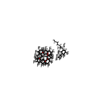 CCCCCC[NH+](CC)c1cc(F)c(F)c(C(F)(F)C(F)(F)F)c1F.Fc1c(F)c(F)c2[c]([Al-]([c]3c(F)c(F)c(F)c4c(F)c(F)c(F)c(F)c34)([c]3c(F)c(F)c(F)c4c(F)c(F)c(F)c(F)c34)[c]3c(F)c(F)c(F)c4c(F)c(F)c(F)c(F)c34)c(F)c(F)c(F)c2c1F